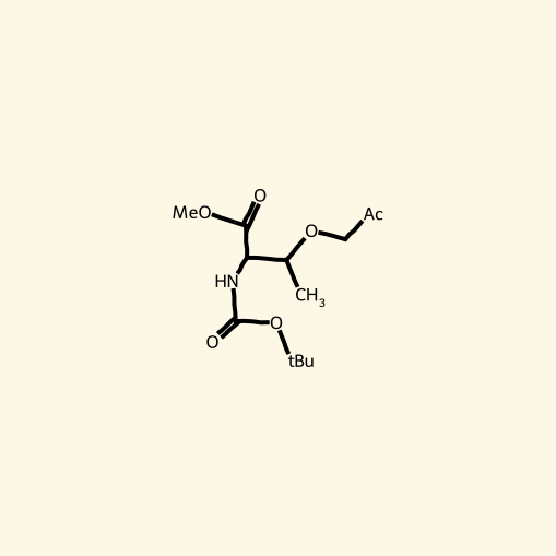 COC(=O)C(NC(=O)OC(C)(C)C)C(C)OCC(C)=O